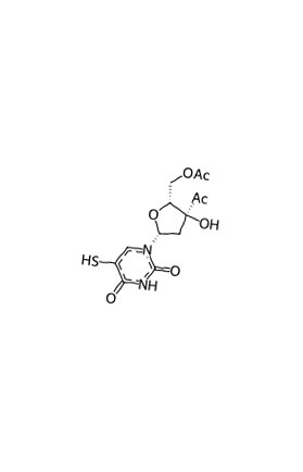 CC(=O)OC[C@H]1O[C@@H](n2cc(S)c(=O)[nH]c2=O)C[C@@]1(O)C(C)=O